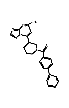 Cc1cc(C2CCCN(C(=O)c3ccc(-c4ccccc4)cc3)C2)n2ncnc2n1